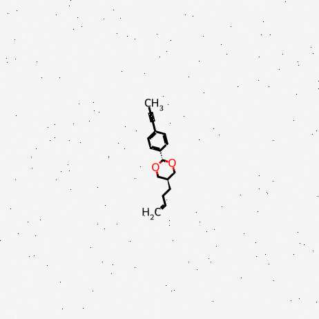 C=CCC[C@H]1CO[C@H](c2ccc(C#CC)cc2)OC1